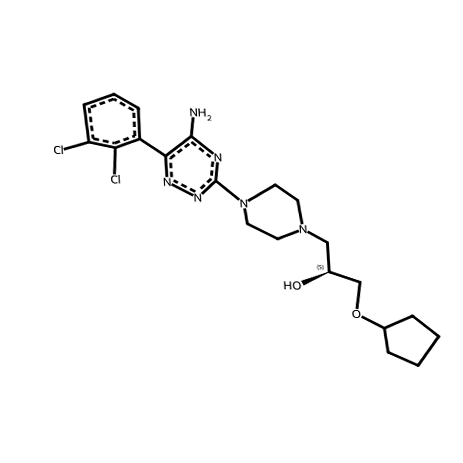 Nc1nc(N2CCN(C[C@H](O)COC3CCCC3)CC2)nnc1-c1cccc(Cl)c1Cl